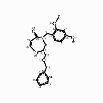 COc1ccc(CN2C[C@@H](COCc3ccccc3)OC=CC2=O)c(OC)c1